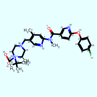 Cc1cc(N(C)C(=O)c2ccc(Oc3ccc(F)cc3)nc2)ncc1CN1CC[N+](C(=O)[O-])(C(C)(C)C)[C@@H](C)C1